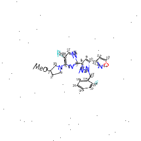 COC1CCN(c2nc(-c3cc(-c4ccon4)n(Cc4ccccc4F)n3)ncc2F)C1